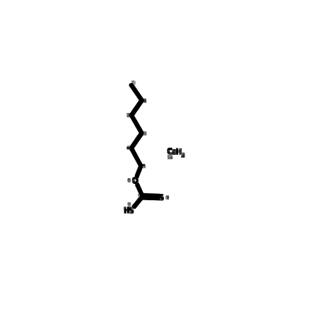 CCCCCCOC(=S)S.[CaH2]